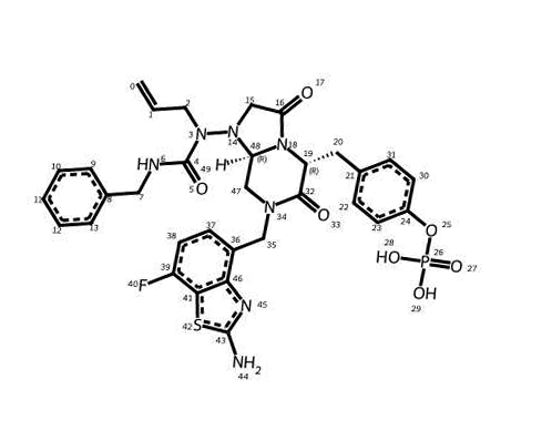 C=CCN(C(=O)NCc1ccccc1)N1CC(=O)N2[C@H](Cc3ccc(OP(=O)(O)O)cc3)C(=O)N(Cc3ccc(F)c4sc(N)nc34)C[C@H]21